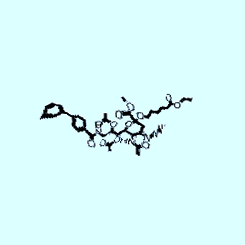 CCOC(=O)CCCCCO[C@]1(C(=O)OC)C[C@@H](N=[N+]=[N-])[C@@H](NC(C)=O)C([C@H](OC(C)=O)[C@@H](CNC(=O)c2ccc(-c3ccccc3)cc2)OC(C)=O)O1